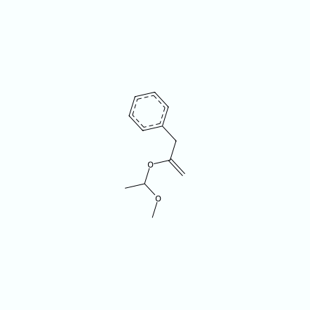 C=C(Cc1ccccc1)OC(C)OC